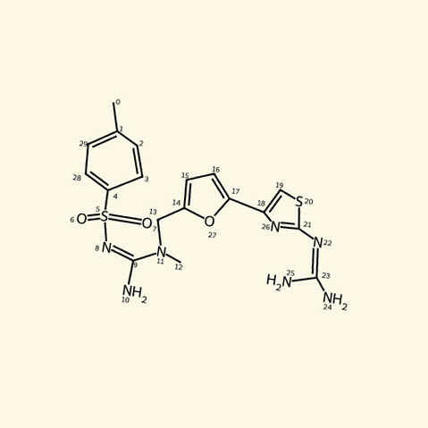 Cc1ccc(S(=O)(=O)N=C(N)N(C)Cc2ccc(-c3csc(N=C(N)N)n3)o2)cc1